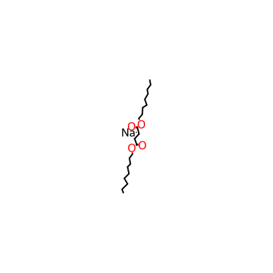 CCCCCCCCCOC(=O)CCC(=O)OCCCCCCCCC.[Na]